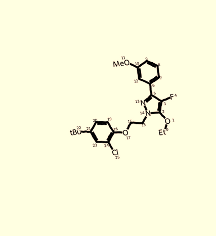 CCOc1c(F)c(-c2cccc(OC)c2)nn1CCOc1ccc(C(C)(C)C)cc1Cl